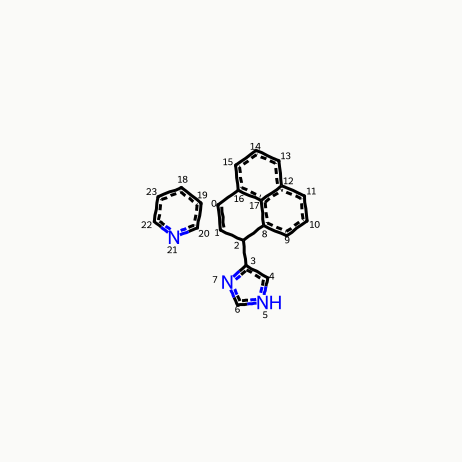 C1=CC(c2c[nH]cn2)c2cccc3cccc1c23.c1ccncc1